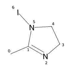 CC1=NCCN1I